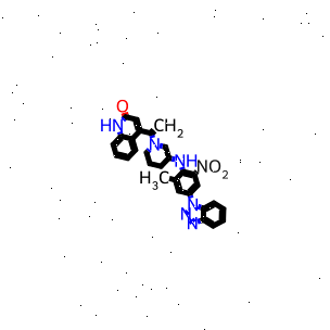 C=C(c1cc(=O)[nH]c2ccccc12)N1CCCC(Nc2c(C)cc(-n3nnc4ccccc43)cc2[N+](=O)[O-])C1